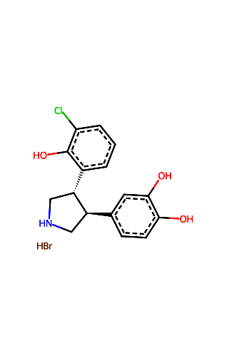 Br.Oc1ccc([C@H]2CNC[C@@H]2c2cccc(Cl)c2O)cc1O